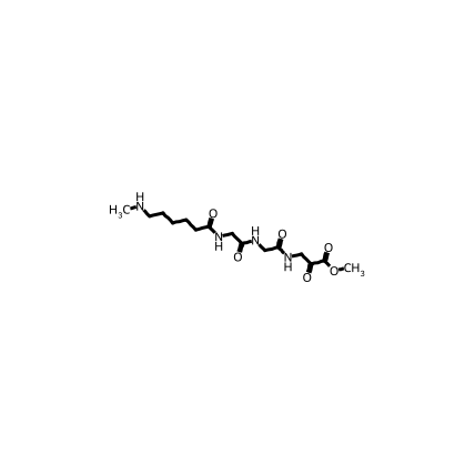 CNCCCCCC(=O)NCC(=O)NCC(=O)NCC(=O)C(=O)OC